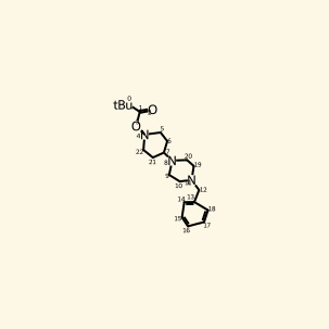 CC(C)(C)C(=O)ON1CCC(N2CCN(Cc3ccccc3)CC2)CC1